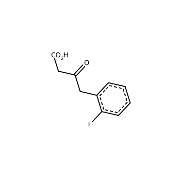 O=C(O)CC(=O)Cc1ccccc1F